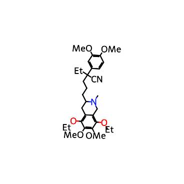 CCOc1c2c(c(OCC)c(OC)c1OC)CN(C)C(CCCC(C#N)(CC)c1ccc(OC)c(OC)c1)C2